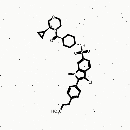 Cn1c(-c2ccc(CCC(=O)O)cc2)c(Cl)c2ccc(S(=O)(=O)N[C@H]3CC[C@H](C(=O)N4CCOC[C@@H]4C4CC4)CC3)cc21